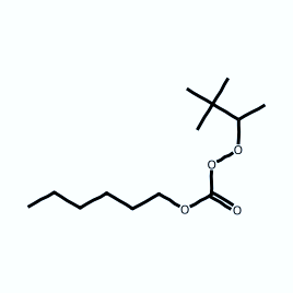 CCCCCCOC(=O)OOC(C)C(C)(C)C